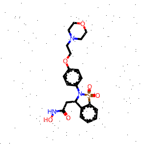 O=C(CC1c2ccccc2S(=O)(=O)N1c1ccc(OCCN2CCOCC2)cc1)NO